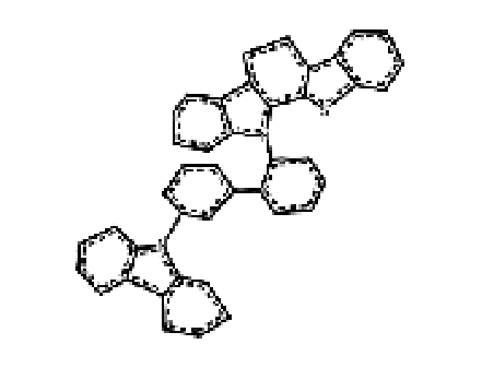 c1cc(-c2ccccc2-n2c3ccccc3c3ccc4c5ccccc5sc4c32)cc(-n2c3ccccc3c3ccccc32)c1